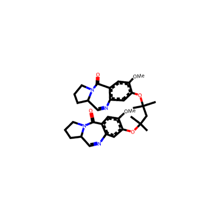 COc1cc2c(cc1OC(C)(C)CC(C)(C)Oc1cc3c(cc1OC)C(=O)N1CCCC1C=N3)N=CC1CCCN1C2=O